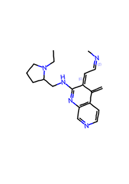 C=c1/c(=C\C=N/C)c(NCC2CCCN2CC)nc2cnccc12